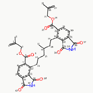 C=C(C)COC(=O)c1ccc2c(c1CCCC(C)CCc1c(C(=O)OCC(=C)C)ccc3c1C(=O)NC3=O)C(=O)NC2=O